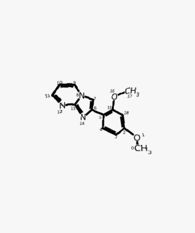 COc1ccc(-c2cn3cccnc3n2)c(OC)c1